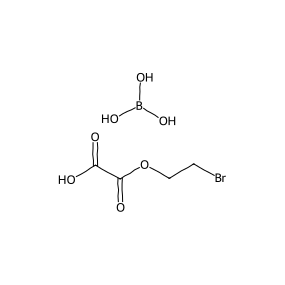 O=C(O)C(=O)OCCBr.OB(O)O